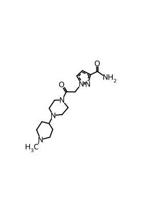 CN1CCC(N2CCN(C(=O)Cn3ccc(C(N)=O)n3)CC2)CC1